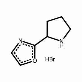 Br.c1coc(C2CCCN2)n1